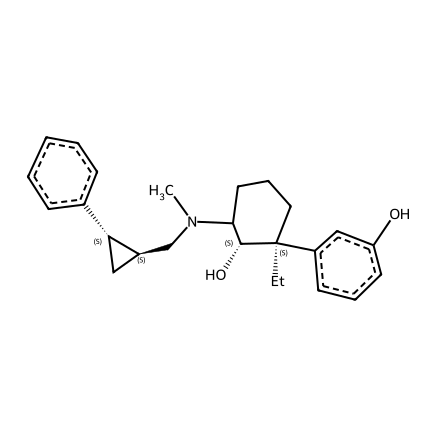 CC[C@@]1(c2cccc(O)c2)CCCC(N(C)C[C@H]2C[C@@H]2c2ccccc2)[C@H]1O